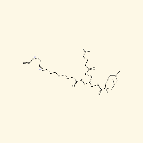 CCCCC/C=C\C/C=C\CCCCCCCC(=O)OCC(COC(=O)CCCN(C)C)COC(=O)C1(C)CC2CC(C)CC(C2)C1